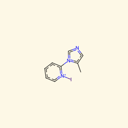 Cc1cncn1-c1cccc[n+]1I